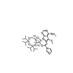 CSc1nn([C@H]2O[C@@H]3CO[Si](C(C)C)(C(C)C)O[Si](C(C)C)(C(C)C)O[C@@H]3[C@@H]2OC(=S)n2ccnc2)c2ncnc(N)c12